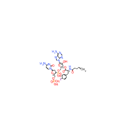 C=CCCC(=O)N[C@@H](Cc1ccc(I)cc1)C(=O)O[C@@H]1C(COP(=O)(O)[C@H]2C[C@H](n3ccc(N)nc3=O)O[C@@H]2COP(=O)(O)O)O[C@@H](n2cnc3c(N)ncnc32)[C@@H]1O